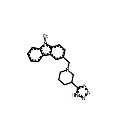 CCn1c2ccccc2c2cc(CN3CCCC(c4nnn[nH]4)C3)ccc21